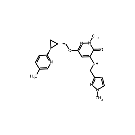 Cc1ccc([C@H]2C[C@@H]2COc2cc(NCc3ccn(C)n3)c(=O)n(C)n2)nc1